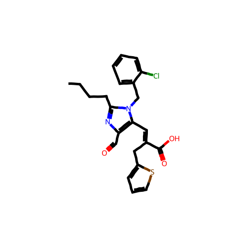 CCCCc1nc(C=O)c(C=C(Cc2cccs2)C(=O)O)n1Cc1ccccc1Cl